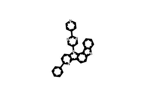 c1ccc(-c2ccc3c(n2)c2ccc4sc5ccccc5c4c2n3-c2cnc(-c3ccncc3)nc2)cc1